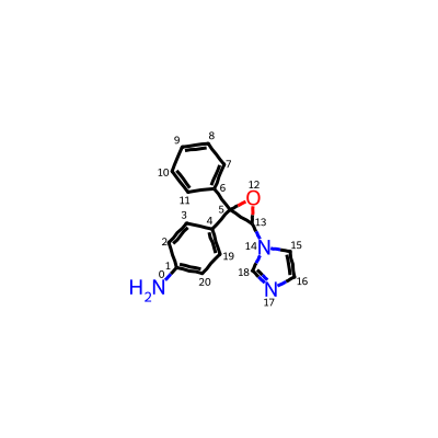 Nc1ccc(C2(c3ccccc3)OC2n2ccnc2)cc1